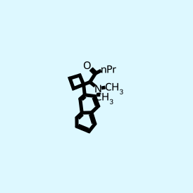 CCCC(=O)C(N(C)C)C1(c2ccc3ccccc3c2)CCC1